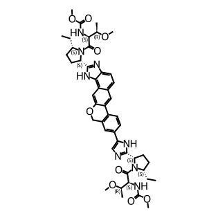 CC[C@H]1CC[C@@H](c2ncc(-c3ccc4c(c3)COc3cc5c(ccc6nc([C@@H]7CC[C@H](CC)N7C(=O)[C@@H](NC(=O)OC)[C@@H](C)OC)[nH]c65)cc3-4)[nH]2)N1C(=O)[C@@H](NC(=O)OC)[C@@H](C)OC